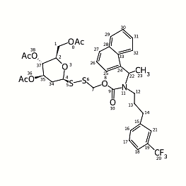 CC(=O)OC[C@H]1O[C@@H](SSCOC(=O)N(CCCc2cccc(C(F)(F)F)c2)C(C)c2cccc3ccccc23)C[C@@H](OC(C)=O)[C@@H]1OC(C)=O